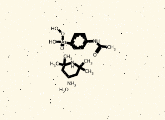 CC(=O)Nc1ccc([As](=O)(O)OO)cc1.CC1(C)CCCC(C)(C)N1.N.O